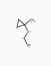 CC(C)COC1(C)CC1